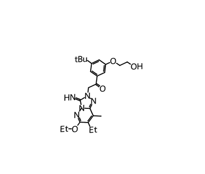 CCOc1nn2c(=N)n(CC(=O)c3cc(OCCO)cc(C(C)(C)C)c3)nc2c(C)c1CC